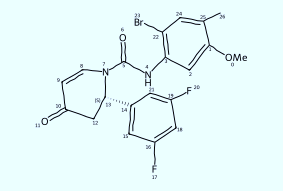 COc1cc(NC(=O)N2C=CC(=O)C[C@H]2c2cc(F)cc(F)c2)c(Br)cc1C